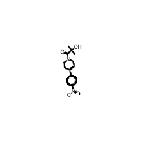 CC(C)(O)C(=O)N1CC=C(c2ccc([N+](=O)[O-])cc2)CC1